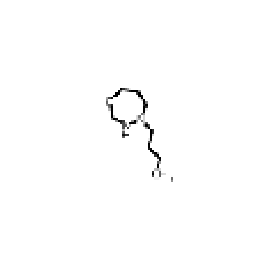 CCCCN1CCCOCN1